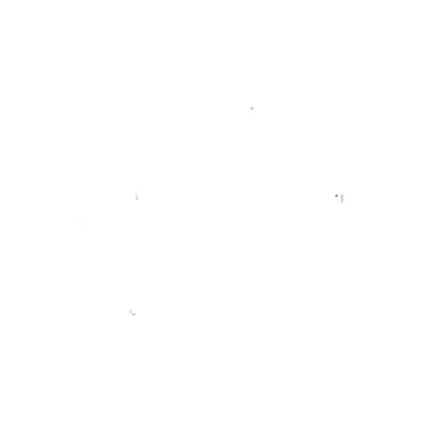 C=N/C=C(\C=C(/C)C=O)c1ccc(C(C)NC(=O)N(C)C2CCN(C)CC2)c(Cl)c1Cl